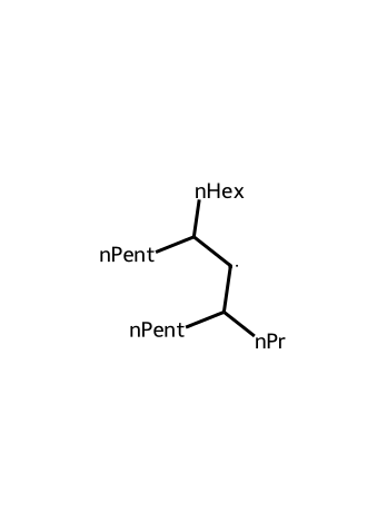 CCCCCCC([CH]C(CCC)CCCCC)CCCCC